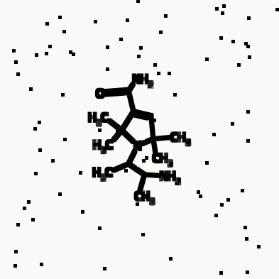 CC(N)C(C)N1C(C)(C)C=C(C(N)=O)C1(C)C